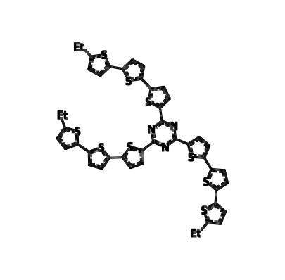 CCc1ccc(-c2ccc(-c3ccc(-c4nc(-c5ccc(-c6ccc(-c7ccc(CC)s7)s6)s5)nc(-c5ccc(-c6ccc(-c7ccc(CC)s7)s6)s5)n4)s3)s2)s1